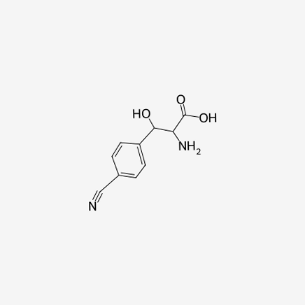 N#Cc1ccc(C(O)C(N)C(=O)O)cc1